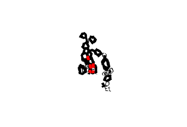 CCC(C)(C)Oc1ccc(S(=O)(=O)c2ccc(Oc3ccc(CC4(Cc5ccc(C(C)(CC)CC)cc5)c5cc(N(c6ccccc6)c6ccccc6)ccc5-c5ccc(N(c6ccccc6)c6ccccc6)cc54)cc3)cc2)cc1